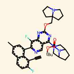 C#Cc1c(F)ccc2cc(C)cc(-c3ncc4c(N5CC6CCC(C5)N6C(=O)OC(C)(C)C)nc(OCC56CCCN5CCC6)nc4c3F)c12